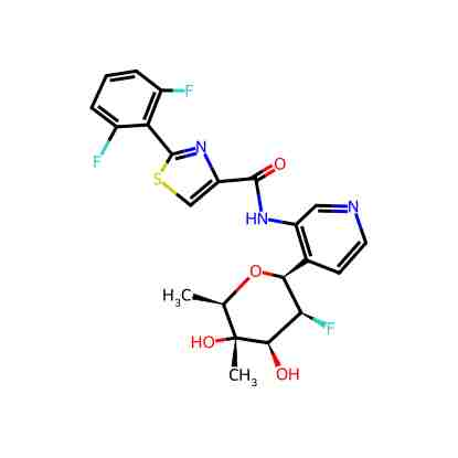 C[C@H]1O[C@@H](c2ccncc2NC(=O)c2csc(-c3c(F)cccc3F)n2)[C@@H](F)[C@@H](O)[C@]1(C)O